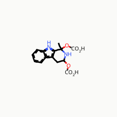 CC1(OC(=O)O)NC(OC(=O)O)Cc2c1[nH]c1ccccc21